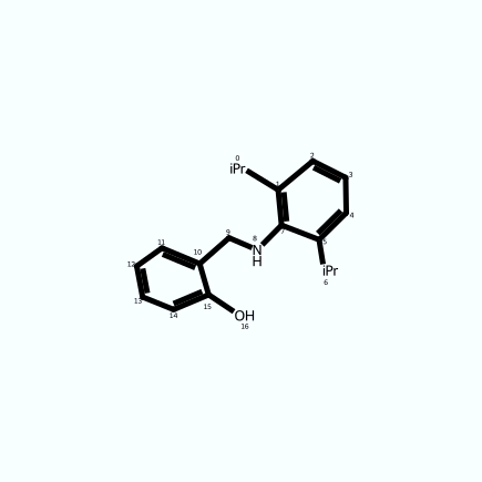 CC(C)c1cccc(C(C)C)c1NCc1ccccc1O